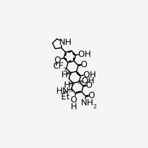 CCN[C@@H]1C(O)=C(C(N)=O)C(=O)[C@@]2(O)C(O)=C3C(=O)c4c(O)cc(C5CCCN5)c(OC(F)(F)F)c4C[C@H]3C[C@@H]12